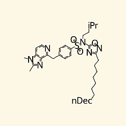 CCCCCCCCCCCCCCCCCc1noc(N(CCC(C)C)S(=O)(=O)c2ccc(Cc3nccc4c3nc(C)n4C)cc2)n1